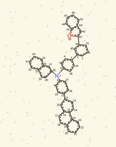 c1cc(-c2ccc(N(c3ccc(-c4ccc5c(ccc6ccccc65)c4)cc3)c3ccc4ccccc4c3)cc2)cc(-c2cc3ccccc3o2)c1